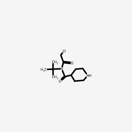 CC(C)(C)N(C(=O)CCl)C(=O)C1CCNCC1